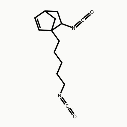 O=C=NCCCCCC12C=CC(CC1N=C=O)C2